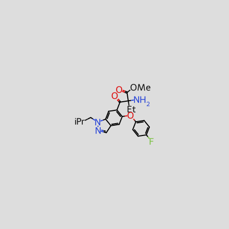 CCC(N)(C(=O)OC)C(=O)c1cc2c(cnn2CC(C)C)cc1Oc1ccc(F)cc1